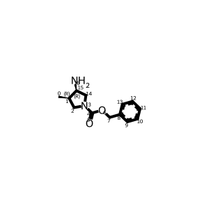 C[C@@H]1CN(C(=O)OCc2ccccc2)C[C@@H]1N